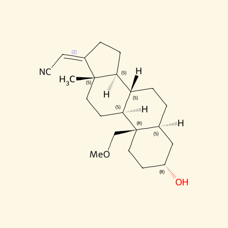 COC[C@]12CC[C@@H](O)C[C@@H]1CC[C@@H]1[C@@H]2CC[C@]2(C)/C(=C\C#N)CC[C@@H]12